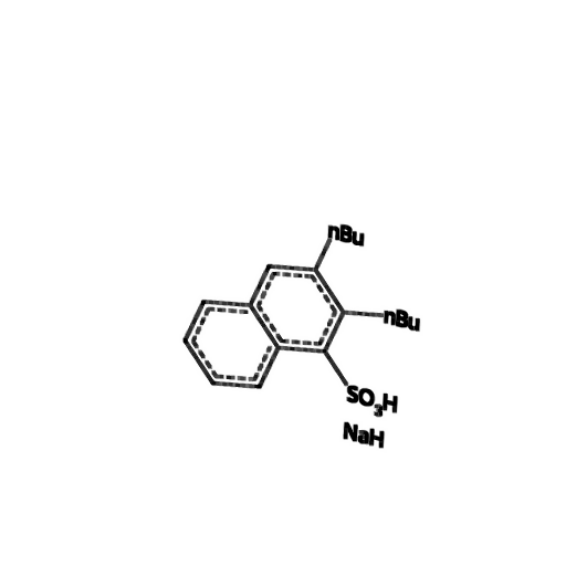 CCCCc1cc2ccccc2c(S(=O)(=O)O)c1CCCC.[NaH]